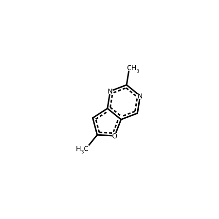 Cc1ncc2oc(C)cc2n1